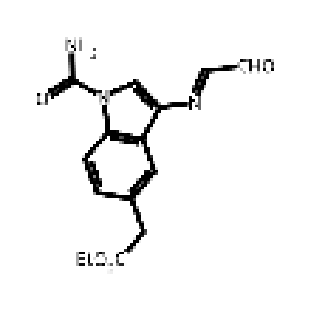 CCOC(=O)Cc1ccc2c(c1)c(N=CC=O)cn2C(N)=O